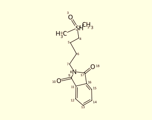 C[SH](C)(=O)CCCCN1C(=O)c2ccccc2C1=O